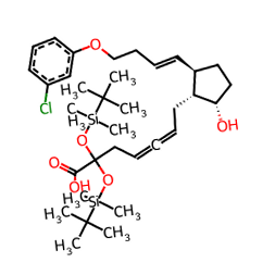 CC(C)(C)[Si](C)(C)OC(CC=C=CC[C@H]1[C@@H](O)CC[C@@H]1C=CCCOc1cccc(Cl)c1)(O[Si](C)(C)C(C)(C)C)C(=O)O